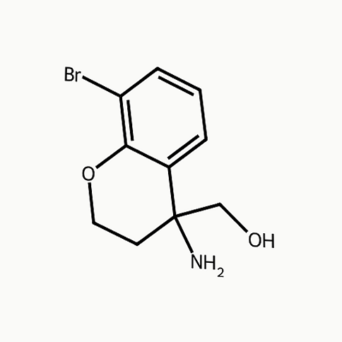 NC1(CO)CCOc2c(Br)cccc21